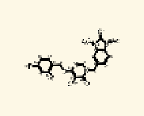 CC(=O)n1c(=O)n(C(C)=O)c2cc(Cn3cnc(OCc4ccc(F)cc4F)c(Cl)c3=O)ccc21